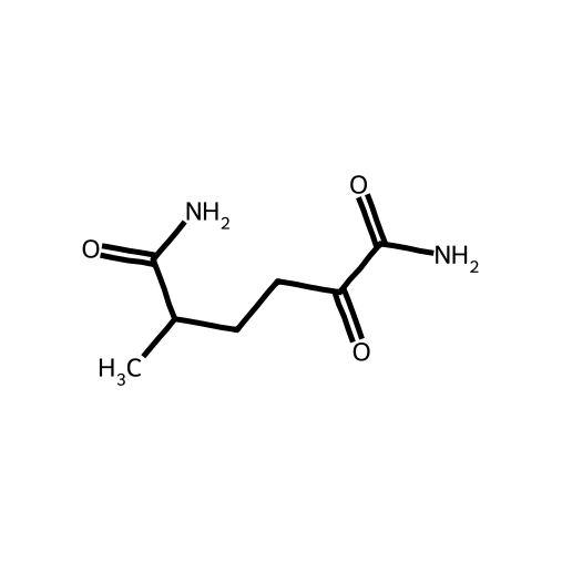 CC(CCC(=O)C(N)=O)C(N)=O